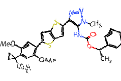 COc1cc(C2(C(=O)O)CC2)c(OC)cc1-c1cc2sc(-c3nnn(C)c3NC(=O)O[C@H](C)c3ccccc3)cc2s1